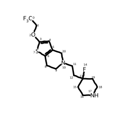 FC(F)(F)COc1cc2c(s1)CCN(CCC1(F)CCNCC1)C2